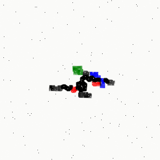 COCCCOc1cc(C[C@@H](C[C@H](N)[C@@H](O)CNCC(C)C)C(C)C)ccc1OC.Cl.Cl